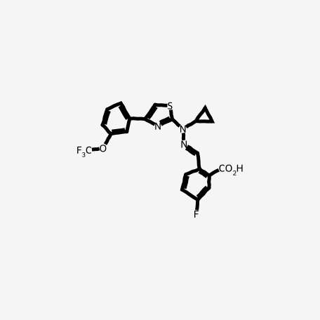 O=C(O)c1cc(F)ccc1C=NN(c1nc(-c2cccc(OC(F)(F)F)c2)cs1)C1CC1